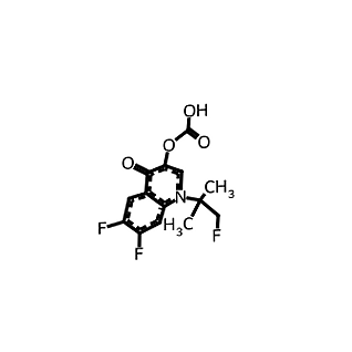 CC(C)(CF)n1cc(OC(=O)O)c(=O)c2cc(F)c(F)cc21